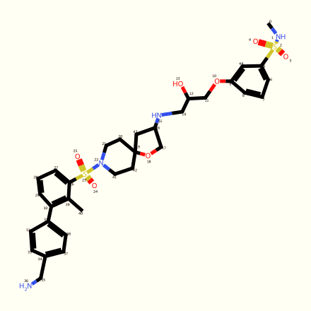 CNS(=O)(=O)c1cccc(OCC(O)CNC2COC3(CCN(S(=O)(=O)c4cccc(-c5ccc(CN)cc5)c4C)CC3)C2)c1